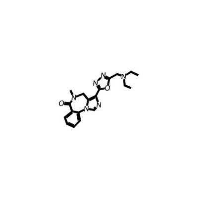 CCN(CC)Cc1nnc(-c2ncn3c2CN(C)C(=O)c2ccccc2-3)o1